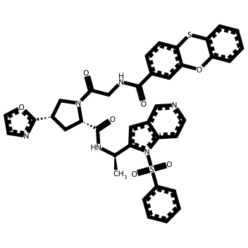 C[C@@H](NC(=O)[C@@H]1C[C@H](c2ncco2)CN1C(=O)CNC(=O)c1ccc2c(c1)Oc1ccccc1S2)c1cc2cnccc2n1S(=O)(=O)c1ccccc1